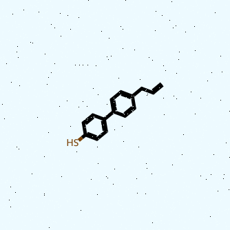 C=CCc1ccc(-c2ccc(S)cc2)cc1